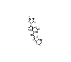 CN1CC(c2cnc3c(Nc4cc5cccnc5s4)nccn23)C=N1